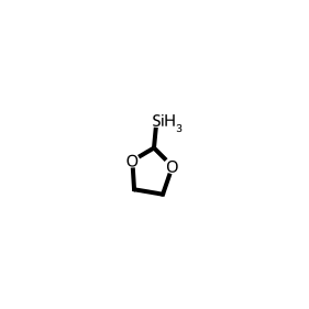 [SiH3]C1OCCO1